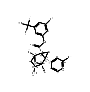 O=C(Nc1cc(F)cc(C(F)(F)F)c1)[C@]12C[C@@]1(c1ccnc(F)c1)[C@H]1O[C@@H]2C[C@@H]1O